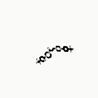 O=C(CCN1CCN(c2ccc(C(F)(F)F)cc2)CC1)N1CCCN(C2=CCC(C(F)(F)F)C=N2)CC1